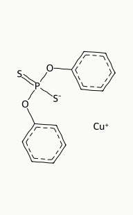 S=P([S-])(Oc1ccccc1)Oc1ccccc1.[Cu+]